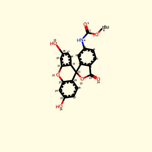 CC(C)(C)OC(=O)Nc1ccc2c(c1)C1(OC2=O)c2ccc(O)cc2Oc2cc(O)ccc21